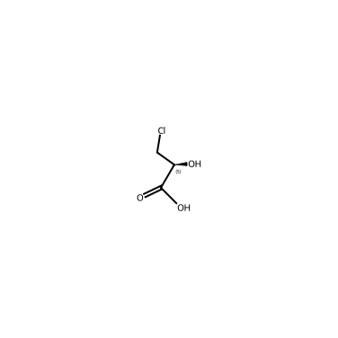 O=C(O)[C@H](O)CCl